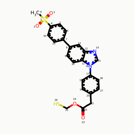 CS(=O)(=O)c1ccc(-c2ccc3c(c2)ncn3-c2ccc(CC(=O)OCS)cc2)cc1